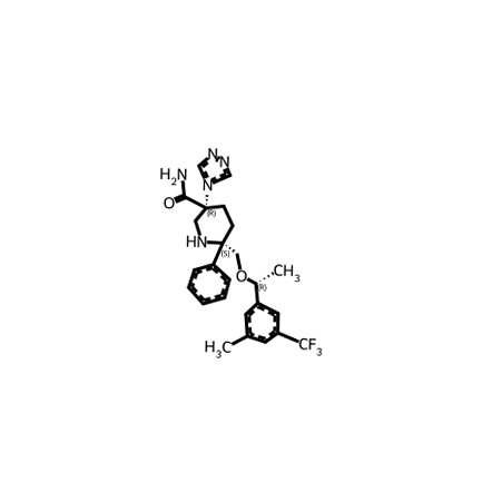 Cc1cc([C@@H](C)OC[C@@]2(c3ccccc3)CC[C@@](C(N)=O)(n3cnnc3)CN2)cc(C(F)(F)F)c1